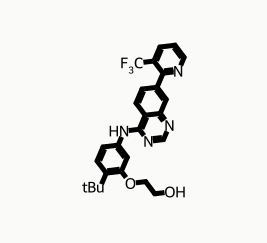 CC(C)(C)c1ccc(Nc2ncnc3cc(-c4ncccc4C(F)(F)F)ccc23)cc1OCCO